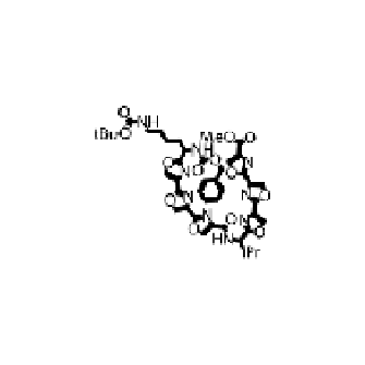 COC(=O)c1coc(-c2coc(-c3coc(C(NC(=O)c4coc(-c5coc(-c6coc(C(CCCCNC(=O)OC(C)(C)C)NC(=O)OCc7ccccc7)n6)n5)n4)C(C)C)n3)n2)n1